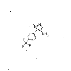 Nc1snnc1-c1ccc(C(F)(F)F)cc1